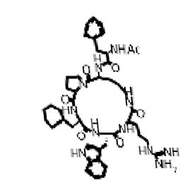 CC(=O)N[C@@H](Cc1ccccc1)C(=O)N[C@H]1CCCNC(=O)C(CCCNC(=N)N)NC(=O)[C@H](Cc2c[nH]c3ccccc23)NC(=O)[C@@H](CC2CCCCC2)NC(=O)C2CCCN2C1=O